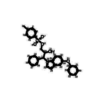 Cc1ccc(S(=O)(=O)OCC(O)C(c2ccccc2)n2ccc3cc(Oc4ccccc4)ccc32)cc1